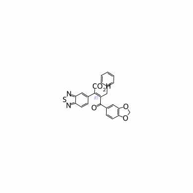 O=C(O)/C(=C(\Cc1ccccc1)C(=O)c1ccc2c(c1)OCO2)c1ccc2nsnc2c1